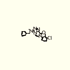 Cc1c(Cl)cccc1-n1ccn2c(N(C)Cc3ccccc3)nnc2c1=O